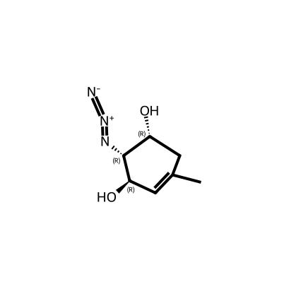 CC1=C[C@@H](O)[C@H](N=[N+]=[N-])[C@H](O)C1